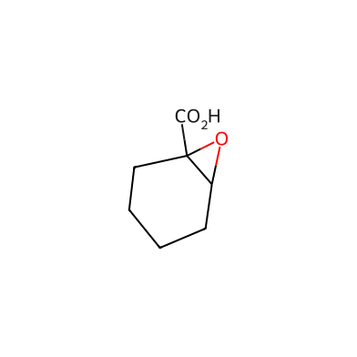 O=C(O)C12CCCCC1O2